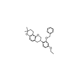 CCOc1ccc([C@@H]2COc3c(ccc4c3CCC(C)(C)O4)C2)c(OCc2ccccc2)c1